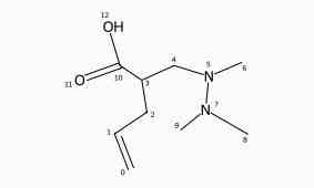 C=CCC(CN(C)N(C)C)C(=O)O